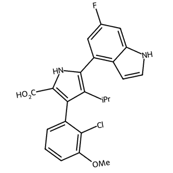 COc1cccc(-c2c(C(=O)O)[nH]c(-c3cc(F)cc4[nH]ccc34)c2C(C)C)c1Cl